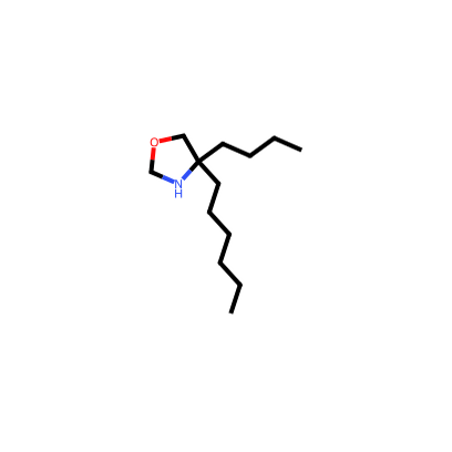 CCCCCCC1(CCCC)COCN1